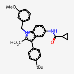 COc1cccc(Cn2c(C(=O)O)c(-c3ccc(C(C)(C)C)cc3)c3cc(NC(=O)C4CC4)ccc32)c1